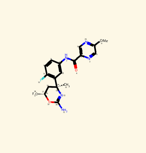 COc1cnc(C(=O)Nc2ccc(F)c([C@]3(C)C[C@@H](C(F)(F)F)OC(N)=N3)c2)cn1